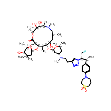 CC[C@H]1OC(=O)[C@H](C)[C@@H](O[C@H]2C[C@@](C)(OC)[C@@H](O)[C@H](C)O2)[C@H](C)[C@@H](O[C@H]2C[C@@H](N(C)CCc3cn([C@H](CF)[C@H](OC)c4ccc(N5CCCS(=O)(=O)CC5)cc4)nn3)C[C@@H](C)O2)[C@](C)(O)C[C@@H](C)CN(C)[C@H](C)[C@@H](O)[C@]1(C)O